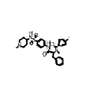 CN1CCC(NS(=O)(=O)c2ccc(NC(=O)C(Cc3ccccc3)N(C)C(=O)c3ccc(F)cc3)cc2)CC1